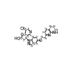 O=C(O)CC(c1cncc(Cl)c1)n1ncc2cc(OCCc3ccc4c(n3)NCCC4)ccc21